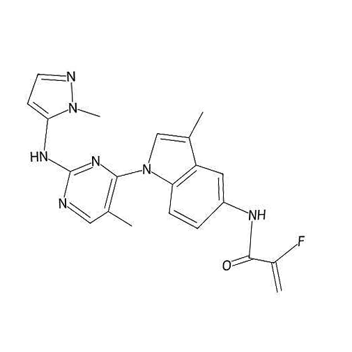 C=C(F)C(=O)Nc1ccc2c(c1)c(C)cn2-c1nc(Nc2ccnn2C)ncc1C